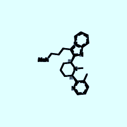 CNCCCc1c([C@@H]2CCC[C@H](c3ncccc3C)N2C)nc2ccccn12